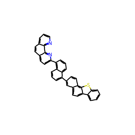 c1cnc2c(c1)ccc1ccc(-c3cccc4c(-c5ccc6c(ccc7c8ccccc8sc67)c5)cccc34)nc12